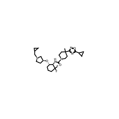 CC1(c2noc(C3CC3)n2)CCN(C(=O)N[C@@H]2[C@@H](O[C@H]3CCN(CC4CC4)C3)CCCC2(F)F)CC1